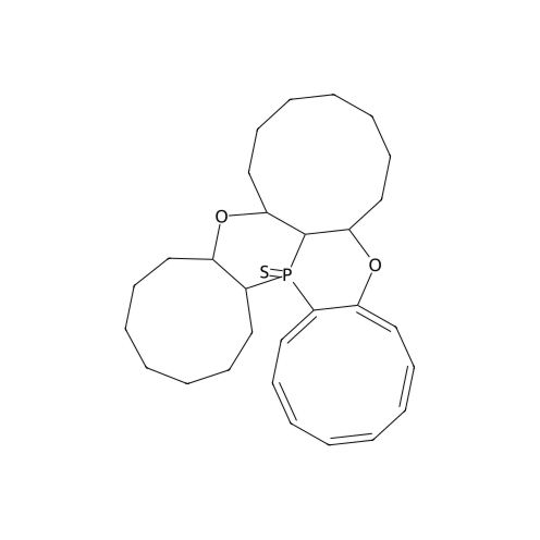 S=P12c3ccccccccc3OC3CCCCCCCC(OC4CCCCCCCC41)C32